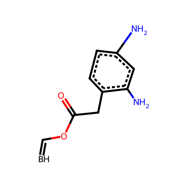 B=COC(=O)Cc1ccc(N)cc1N